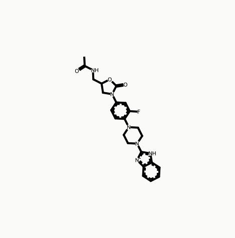 CC(=O)NCC1CN(c2ccc(N3CCN(c4nc5ccccc5[nH]4)CC3)c(F)c2)C(=O)O1